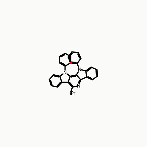 CC(C)c1nc2c3ccccc3n(-c3ccccc3)c2c2c1c1ccccc1n2-c1ccccc1